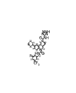 O=C(Nc1nn[nH]n1)c1ccc(CN(C(=O)NCc2cc(F)cc(C(F)(F)F)c2)c2ccc(C3CCCCC3)cc2)cc1